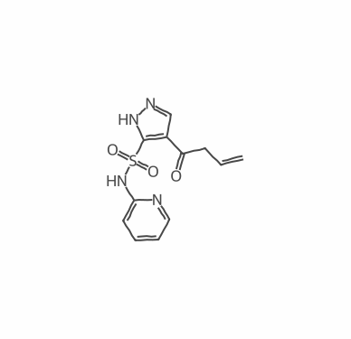 C=CCC(=O)c1cn[nH]c1S(=O)(=O)Nc1ccccn1